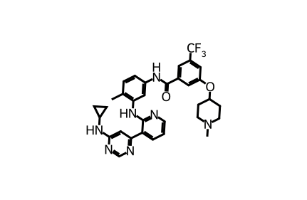 Cc1ccc(NC(=O)c2cc(OC3CCN(C)CC3)cc(C(F)(F)F)c2)cc1Nc1ncccc1-c1cc(NC2CC2)ncn1